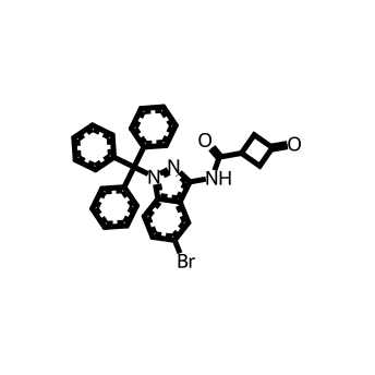 O=C1CC(C(=O)Nc2nn(C(c3ccccc3)(c3ccccc3)c3ccccc3)c3ccc(Br)cc23)C1